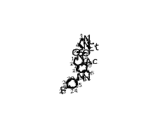 CCn1nccc1S(=O)(=O)N1CCC2=Cc3c(cnn3-c3ccc(F)cc3)C[C@]2(C(C)=O)C1